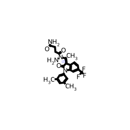 C/C(=C1/C(=O)N(c2cc(C)cc(C)c2)c2cc(C(F)(F)F)ccc21)N(N)C(=O)CCC(N)=O